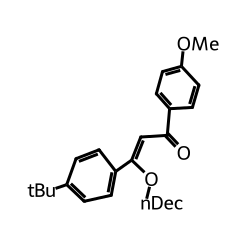 CCCCCCCCCCO/C(=C\C(=O)c1ccc(OC)cc1)c1ccc(C(C)(C)C)cc1